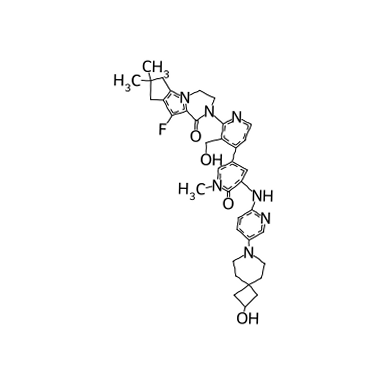 Cn1cc(-c2ccnc(N3CCn4c5c(c(F)c4C3=O)CC(C)(C)C5)c2CO)cc(Nc2ccc(N3CCC4(CC3)CC(O)C4)cn2)c1=O